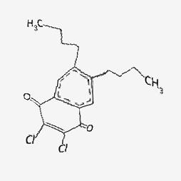 CCCCc1cc2c(cc1CCCC)C(=O)C(Cl)=C(Cl)C2=O